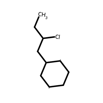 CCC(Cl)CC1[CH]CC[CH]C1